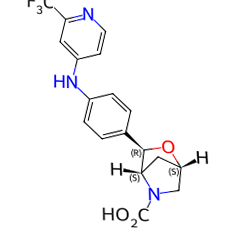 O=C(O)N1C[C@@H]2C[C@H]1[C@@H](c1ccc(Nc3ccnc(C(F)(F)F)c3)cc1)O2